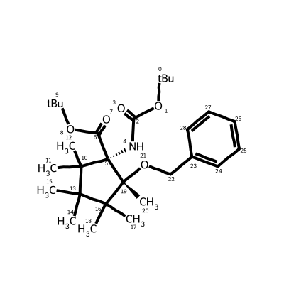 CC(C)(C)OC(=O)N[C@@]1(C(=O)OC(C)(C)C)C(C)(C)C(C)(C)C(C)(C)[C@@]1(C)OCc1ccccc1